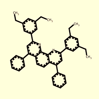 CCc1cc(CC)cc(-c2cc(-c3ccccc3)c3ccc4c(-c5ccccc5)cc(-c5cc(CC)cc(CC)c5)nc4c3n2)c1